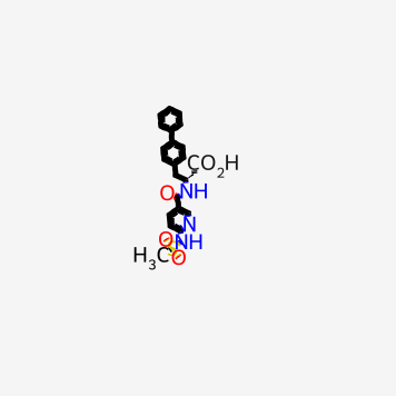 CS(=O)(=O)Nc1ccc(C(=O)N[C@@H](CC(=O)O)Cc2ccc(-c3ccccc3)cc2)cn1